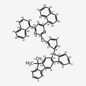 CC1(C)c2ccccc2-c2cc3c4ccccc4n(-c4cccc(Oc5nc(-c6cccc7ccccc67)cc(-c6cccc7ccccc67)n5)c4)c3cc21